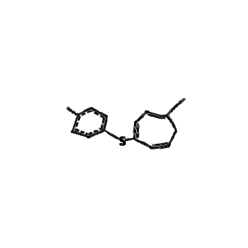 CC1=CC=C(Sc2ccc(C)cc2)C=CC1